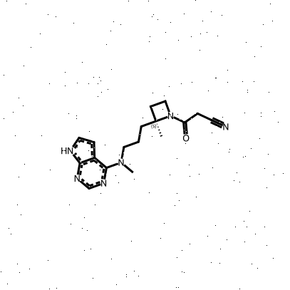 CN(CCC[C@@]1(C)CCN1C(=O)CC#N)c1ncnc2[nH]ccc12